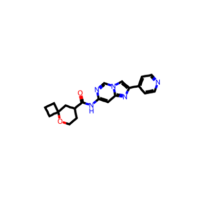 O=C(Nc1cc2nc(-c3ccncc3)cn2cn1)C1CCOC2(CCC2)C1